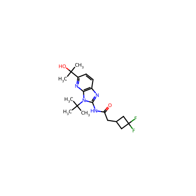 CC(C)(O)c1ccc2nc(NC(=O)CC3CC(F)(F)C3)n(C(C)(C)C)c2n1